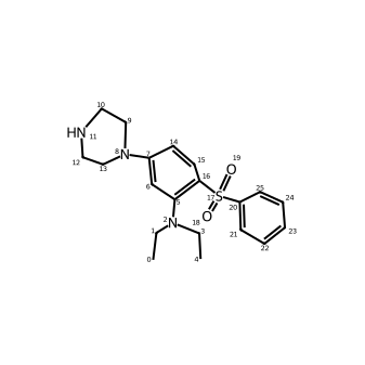 CCN(CC)c1cc(N2CCNCC2)ccc1S(=O)(=O)c1ccccc1